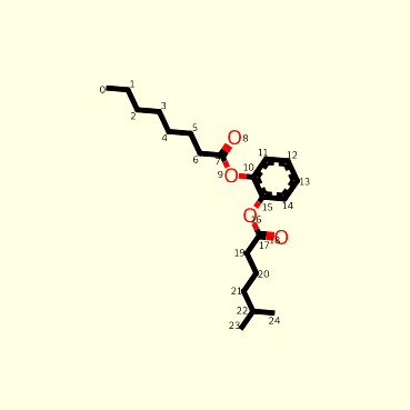 CCCCCCCC(=O)Oc1ccccc1OC(=O)CCCC(C)C